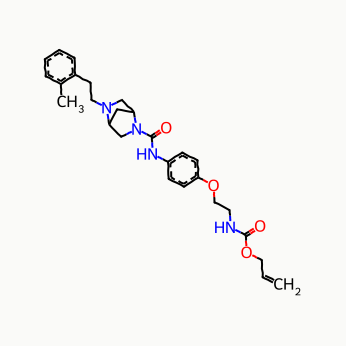 C=CCOC(=O)NCCOc1ccc(NC(=O)N2CC3CC2CN3CCc2ccccc2C)cc1